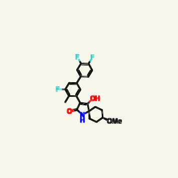 CO[C@H]1CC[C@@]2(CC1)NC(=O)C(c1cc(-c3ccc(F)c(F)c3)cc(F)c1C)=C2O